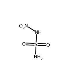 NS(=O)(=O)N[N+](=O)[O-]